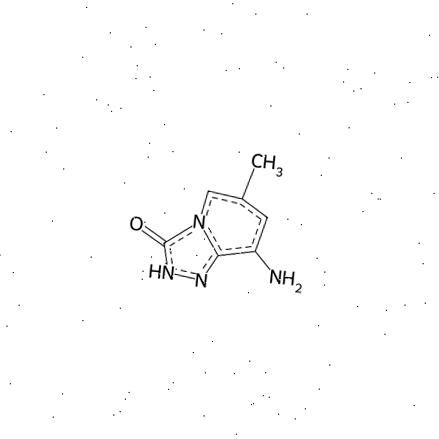 Cc1cc(N)c2n[nH]c(=O)n2c1